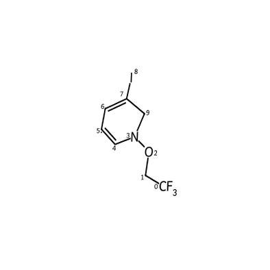 FC(F)(F)CON1C=[C]C=C(I)C1